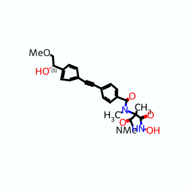 CNC(=O)C(C)(C(=O)NO)N(C)C(=O)c1ccc(C#Cc2ccc([C@H](O)COC)cc2)cc1